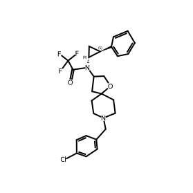 O=C(N(C1COC2(CCN(Cc3ccc(Cl)cc3)CC2)C1)[C@@H]1C[C@H]1c1ccccc1)C(F)(F)F